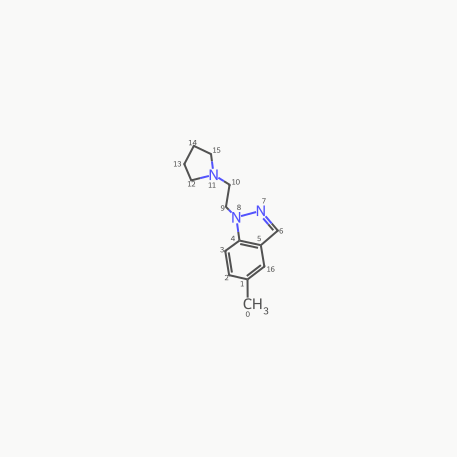 Cc1ccc2c(cnn2CCN2CCCC2)c1